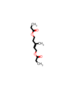 CCC(=O)OC/C=C(\C)CCOC(=O)CC